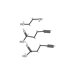 C#CCCC(=O)O.C#CCCC(=O)O.OCCO